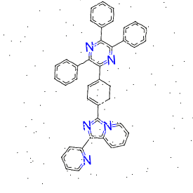 C1=C(c2nc(-c3ccccc3)c(-c3ccccc3)nc2-c2ccccc2)CCC(c2nc(-c3ccccn3)c3ccccn23)=C1